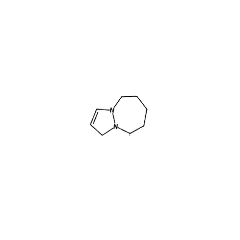 [CH]1CCCCN2C=CCN12